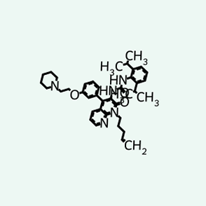 C=CCCCn1c(=O)c(NC(=O)Nc2c(C(C)C)cccc2C(C)C)c(-c2cccc(OCCN3CCCCC3)c2)c2cccnc21